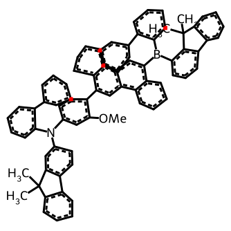 COc1cc(N(c2ccc3c(c2)C(C)(C)c2ccccc2-3)c2ccccc2-c2ccccc2)ccc1-c1cc2c3ccccc3c(B(c3ccccc3-c3ccccc3)c3cccc4c3C(C)(C)c3ccccc3-4)cc2c2ccccc12